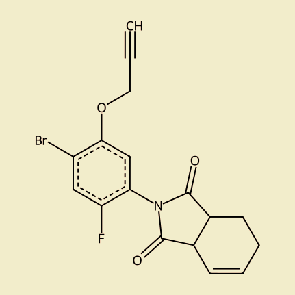 C#CCOc1cc(N2C(=O)C3C=CCCC3C2=O)c(F)cc1Br